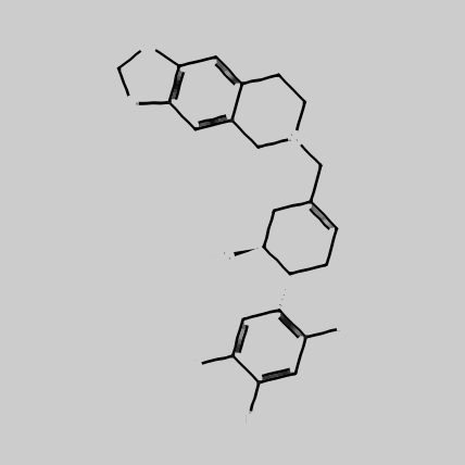 N[C@H]1CC(CN2CCc3cc4c(cc3C2)OCO4)=CC[C@@H]1c1cc(F)c(F)cc1F